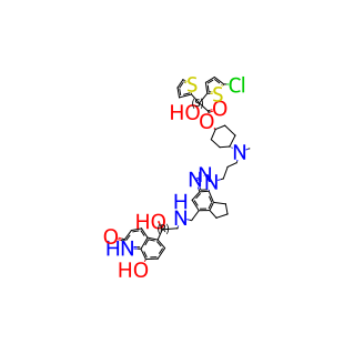 CN(CCCn1nnc2cc(CNC[C@H](O)c3ccc(O)c4[nH]c(=O)ccc34)c3c(c21)CCC3)[C@H]1CC[C@H](OC(=O)[C@](O)(c2cccs2)c2ccc(Cl)s2)CC1